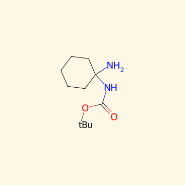 CC(C)(C)OC(=O)NC1(N)CCCCC1